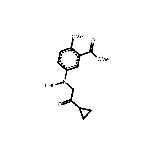 COC(=O)c1cc(N(C=O)CC(=O)C2CC2)ccc1OC